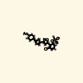 CC(=O)N1CCC(c2nc(C3=NOC(c4c(Cl)cccc4OS(C)(=O)=O)C3)cs2)CC1